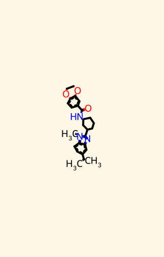 CC(C)c1ccc2c(c1)nc(C1CCCC(NC(=O)c3ccc4c(c3)OCCO4)C1)n2C